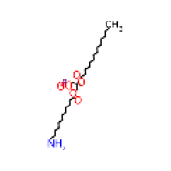 CCCCCCCCCCCCCCC(=O)O[C@H](COP=O)COC(=O)CCCCCCCCCCCN